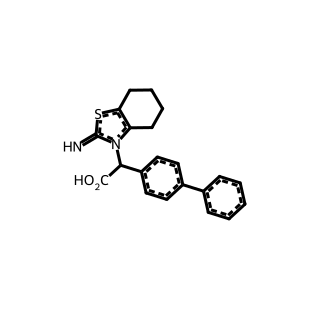 N=c1sc2c(n1C(C(=O)O)c1ccc(-c3ccccc3)cc1)CCCC2